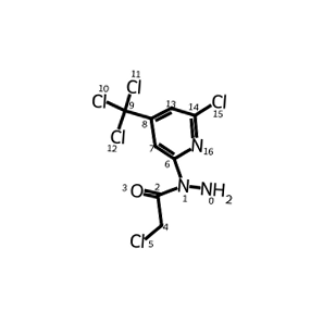 NN(C(=O)CCl)c1cc(C(Cl)(Cl)Cl)cc(Cl)n1